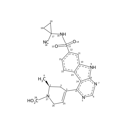 C[C@H]1CC(c2ncnc3[nH]c4cc(S(=O)(=O)NC5(C#N)CC5)ccc4c23)=CCN1C(=O)O